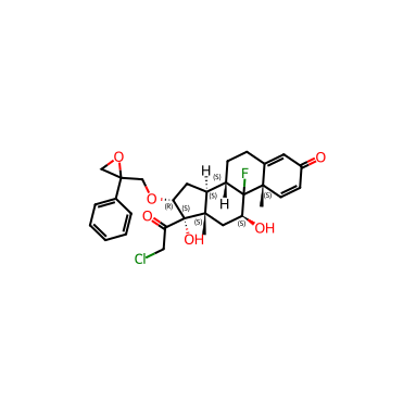 C[C@]12C=CC(=O)C=C1CC[C@H]1[C@@H]3C[C@@H](OCC4(c5ccccc5)CO4)[C@](O)(C(=O)CCl)[C@@]3(C)C[C@H](O)C12F